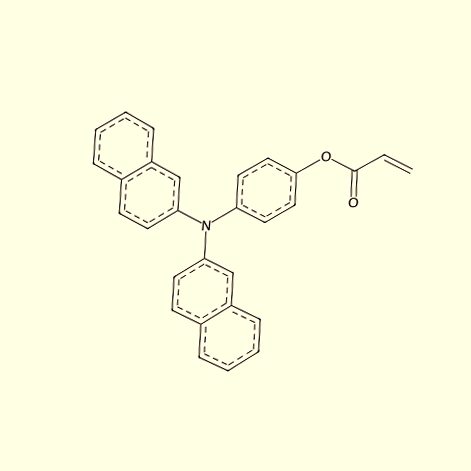 C=CC(=O)Oc1ccc(N(c2ccc3ccccc3c2)c2ccc3ccccc3c2)cc1